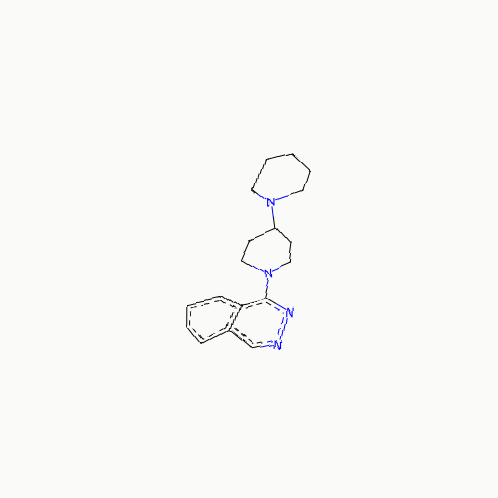 c1ccc2c(N3CCC(N4CCCCC4)CC3)nncc2c1